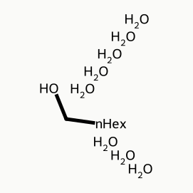 CCCCCCCO.O.O.O.O.O.O.O.O